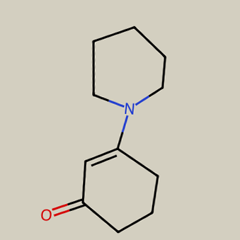 O=C1C=C(N2CCCCC2)CCC1